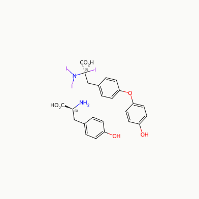 N[C@@H](Cc1ccc(O)cc1)C(=O)O.O=C(O)[C@](I)(Cc1ccc(Oc2ccc(O)cc2)cc1)N(I)I